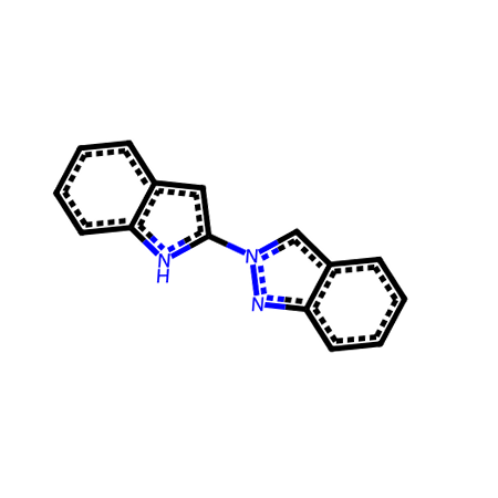 c1ccc2nn(-c3cc4ccccc4[nH]3)cc2c1